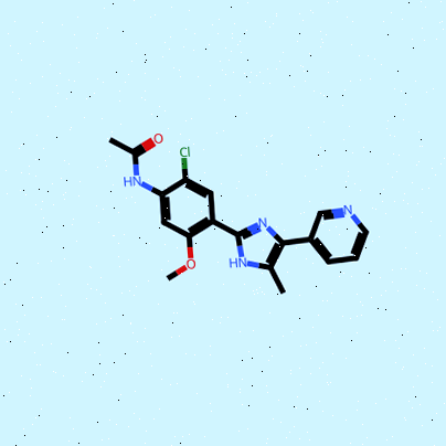 COc1cc(NC(C)=O)c(Cl)cc1-c1nc(-c2cccnc2)c(C)[nH]1